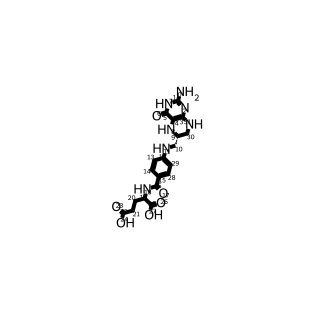 Nc1nc2c(c(=O)[nH]1)N[C@@H](CNc1ccc(C(=O)NC(CCC(=O)O)C(=O)O)cc1)CN2